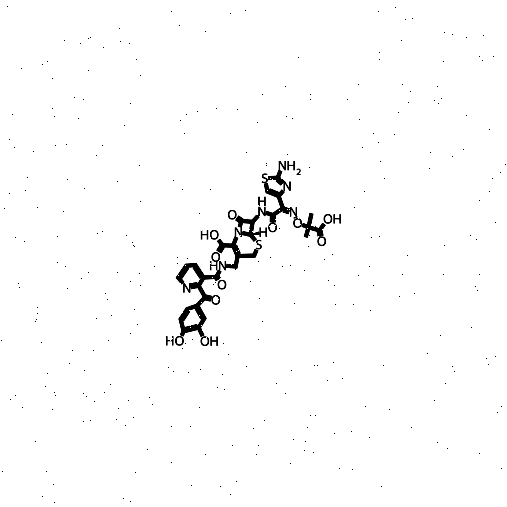 CC(C)(O/N=C(\C(=O)NC1C(=O)N2C(C(=O)O)=C(CNC(=O)c3cccnc3C(=O)c3ccc(O)c(O)c3)CS[C@@H]12)c1csc(N)n1)C(=O)O